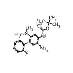 CN(C)c1cc(NC(=O)OC(C)(C)C)c(N)cc1-c1ccccc1F